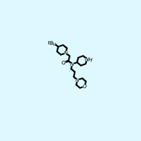 CC(C)(C)C1CCN(CC(=O)N(CCCN2CCOCC2)C2CCNCC2)CC1